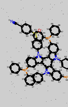 N#Cc1ccc([S+]([O-])c2ccc(-n3c4c#cc(P(c5ccccc5)c5ccccc5)cc4c4c3c3c5cc(P(c6ccccc6)c6ccccc6)ccc5n(C5=CCCC=C5)c3c3c5cc(P)ccc5n(-c5ccccc5)c34)cc2)cc1